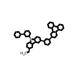 C=Cc1ccc2c(c1)c1cc(-c3cccc(-c4ccc5c6ccccc6c6ccccc6c5c4)c3)ccc1n2-c1cccc(-c2ccccc2)c1